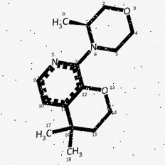 C[C@H]1COCCN1c1nccc2c1OCCC2(C)C